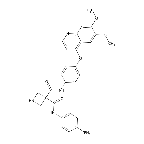 COc1cc2nccc(Oc3ccc(NC(=O)C4(C(=O)Nc5ccc(P)cc5)CNC4)cc3)c2cc1OC